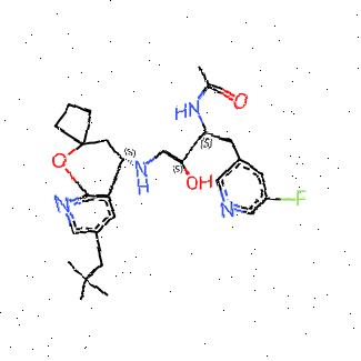 CC(=O)N[C@@H](Cc1cncc(F)c1)[C@@H](O)CN[C@H]1CC2(CCC2)Oc2ncc(CC(C)(C)C)cc21